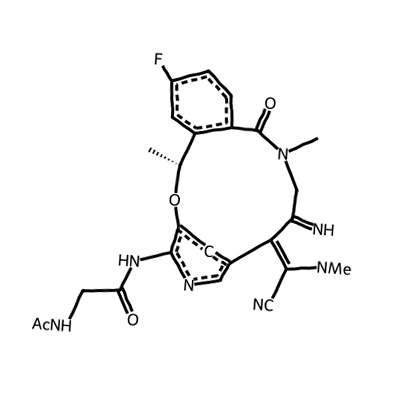 CN/C(C#N)=C1\C(=N)CN(C)C(=O)c2ccc(F)cc2[C@@H](C)Oc2cc1cnc2NC(=O)CNC(C)=O